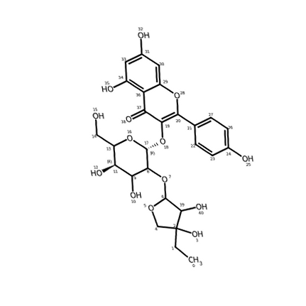 CCC1(O)COC(OC2C(O)[C@@H](O)C(CO)O[C@@H]2Oc2c(-c3ccc(O)cc3)oc3cc(O)cc(O)c3c2=O)C1O